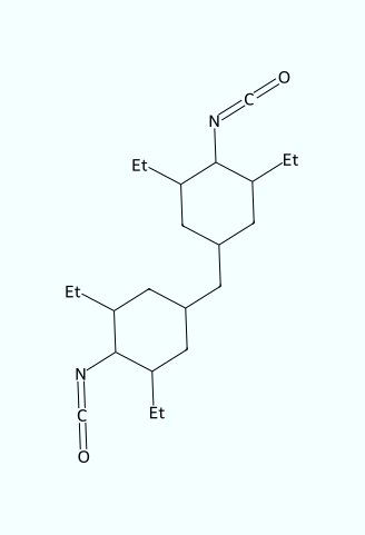 CCC1CC(CC2CC(CC)C(N=C=O)C(CC)C2)CC(CC)C1N=C=O